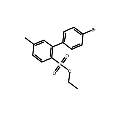 CCOS(=O)(=O)c1ccc(C)cc1-c1ccc(Br)cc1